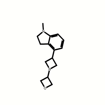 CN1CCc2c(C3CN(C4COC4)C3)cccc21